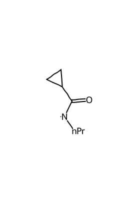 CCC[N]C(=O)C1CC1